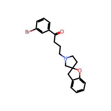 O=C(CCCN1CCC2(Cc3ccccc3O2)C1)c1cccc(Br)c1